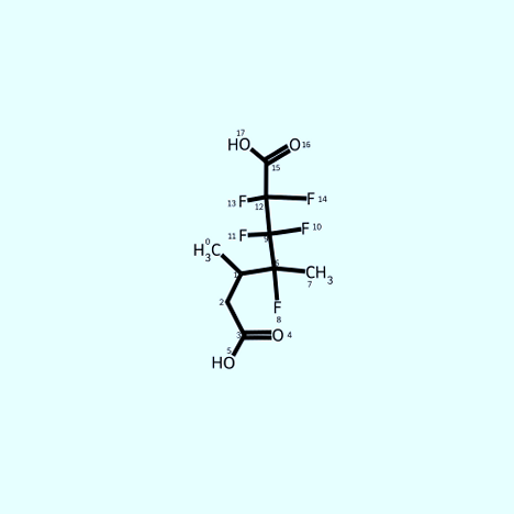 CC(CC(=O)O)C(C)(F)C(F)(F)C(F)(F)C(=O)O